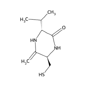 C=C1N[C@H](C(C)C)C(=O)N[C@H]1CS